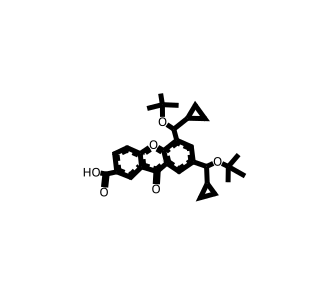 CC(C)(C)OC(c1cc(C(OC(C)(C)C)C2CC2)c2oc3ccc(C(=O)O)cc3c(=O)c2c1)C1CC1